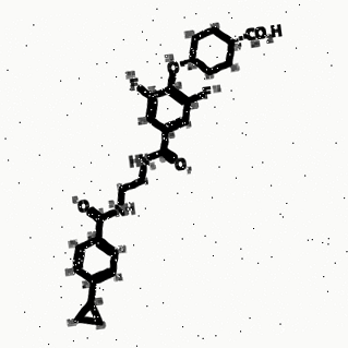 O=C(NCCNC(=O)c1cc(F)c(O[C@H]2CC[C@@H](C(=O)O)CC2)c(F)c1)c1ccc(C2CC2)cc1